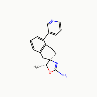 C[C@H]1OC(N)=N[C@@]12CCc1c(cccc1-c1cccnc1)C2